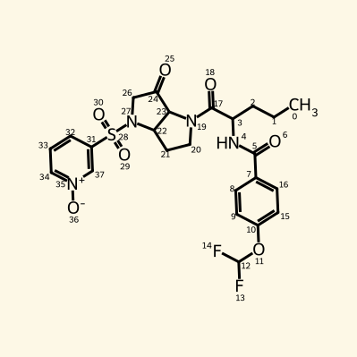 CCCC(NC(=O)c1ccc(OC(F)F)cc1)C(=O)N1CCC2C1C(=O)CN2S(=O)(=O)c1ccc[n+]([O-])c1